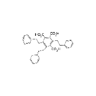 O=C(O)c1c(CCc2ccccc2)c(CCc2ccccc2)c(C(=O)O)c(C(=O)O)c1CCc1ccccc1